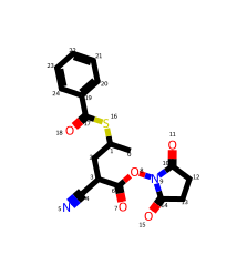 CC(CC(C#N)C(=O)ON1C(=O)CCC1=O)SC(=O)c1ccccc1